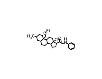 CCOCC12CCC(C)CC1CCC1C3CCC(C(=O)CNc4ccccc4)C3(C)CCC12